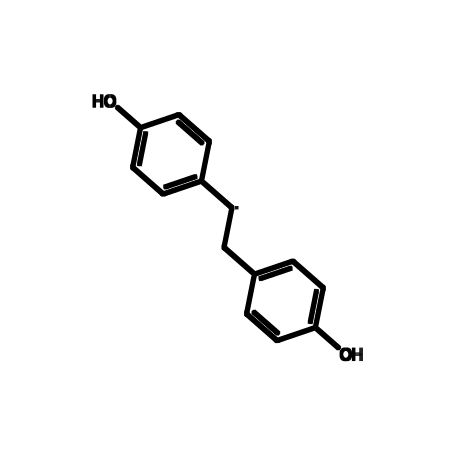 Oc1ccc([CH]Cc2ccc(O)cc2)cc1